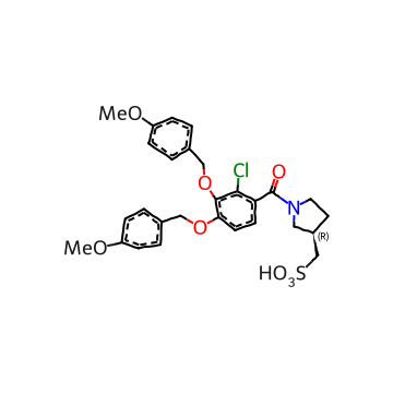 COc1ccc(COc2ccc(C(=O)N3CC[C@@H](CS(=O)(=O)O)C3)c(Cl)c2OCc2ccc(OC)cc2)cc1